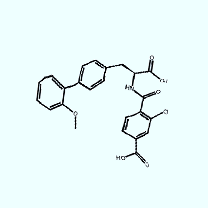 COc1ccccc1-c1ccc(C[C@H](NC(=O)c2ccc(C(=O)O)cc2Cl)C(=O)O)cc1